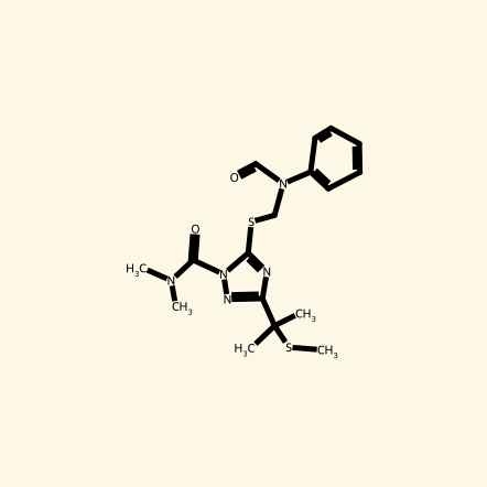 CSC(C)(C)c1nc(SCN(C=O)c2ccccc2)n(C(=O)N(C)C)n1